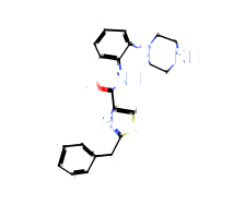 O=C(Nc1ccccc1N1CCNCC1)c1csc(Cc2ccccc2)n1